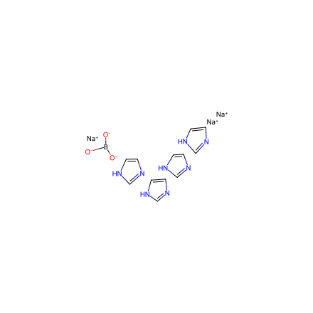 [Na+].[Na+].[Na+].[O-]B([O-])[O-].c1c[nH]cn1.c1c[nH]cn1.c1c[nH]cn1.c1c[nH]cn1